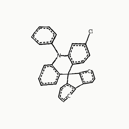 Clc1ccc2c(c1)N(c1ccccc1)c1ccccc1C21c2ccccc2-c2ccccc21